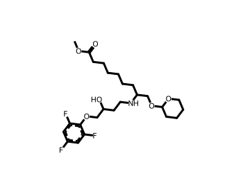 COC(=O)CCCCCCC(COC1CCCCO1)NCCC(O)COc1c(F)cc(F)cc1F